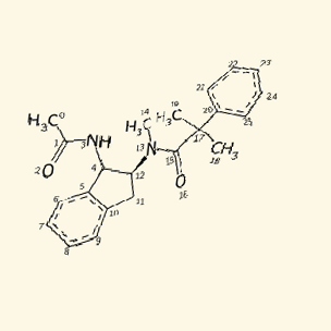 CC(=O)NC1c2ccccc2C[C@@H]1N(C)C(=O)C(C)(C)c1ccccc1